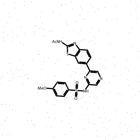 COc1ccc(S(=O)(=O)Nc2cncc(-c3ccc4nc(NC(C)=O)sc4c3)n2)cc1